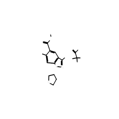 COC(=O)c1cc2c(C)nn([C@@H]3CCNC3)c2cc1F.O=C(O)C(F)(F)F